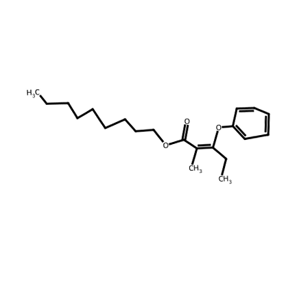 CCCCCCCCCOC(=O)C(C)=C(CC)Oc1ccccc1